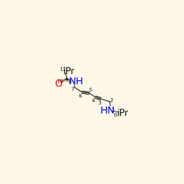 CC(C)NCC#CC#CCNC(=O)C(C)C